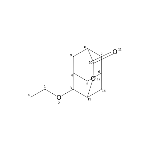 CCOC1C2CC3CC(C2)C(=O)OC1C3